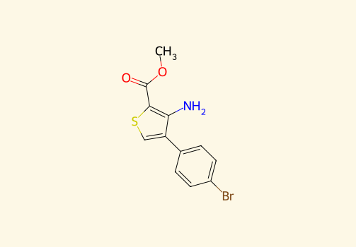 COC(=O)c1scc(-c2ccc(Br)cc2)c1N